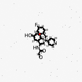 O=CC(=O)NC1=C[N+](Cc2ccc(F)cc2)(c2ccncc2)c2ccc(O)cc21